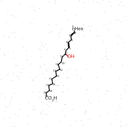 CCCCCCC=CCC=CCC(O)CCCCCCCCCCCC(=O)O